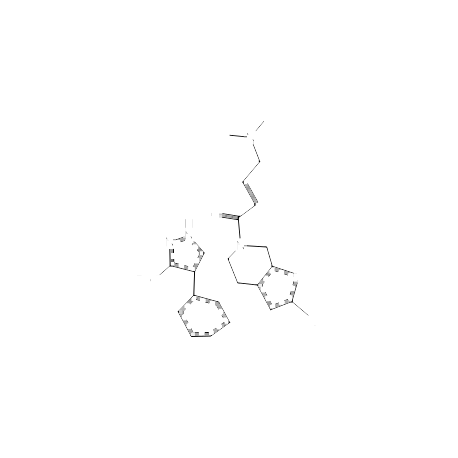 CN(C)C/C=C/C(=O)N1Cc2sc(Cl)cc2[C@H](c2ccccc2-c2c[nH]nc2C(F)(F)F)C1